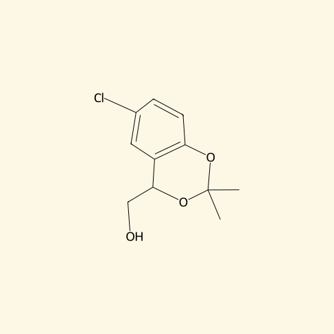 CC1(C)Oc2ccc(Cl)cc2C(CO)O1